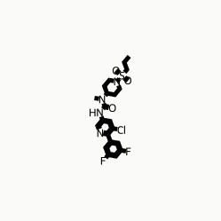 CCCS(=O)(=O)N1CCC(N(C)C(=O)Nc2cnc(-c3cc(F)cc(F)c3)c(Cl)c2)CC1